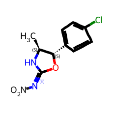 C[C@@H]1N/C(=N\[N+](=O)[O-])O[C@H]1c1ccc(Cl)cc1